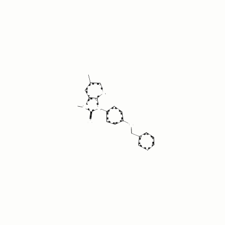 CCn1c(=O)n(-c2ccc(OCc3ccccc3)cc2)c2ncc(C)cc21